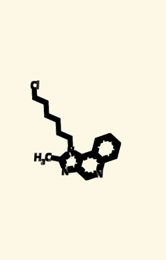 Cc1nc2cnc3ccccc3c2n1CCCCCCCl